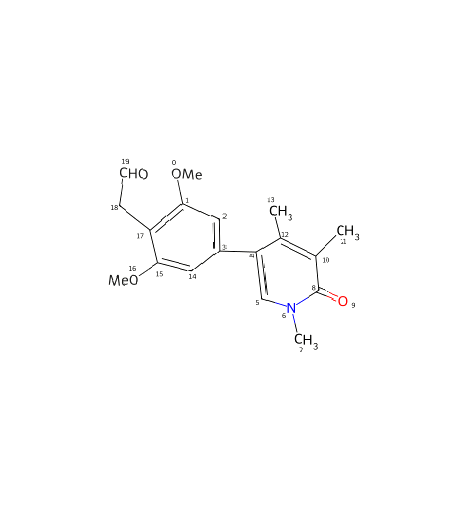 COc1cc(-c2cn(C)c(=O)c(C)c2C)cc(OC)c1CC=O